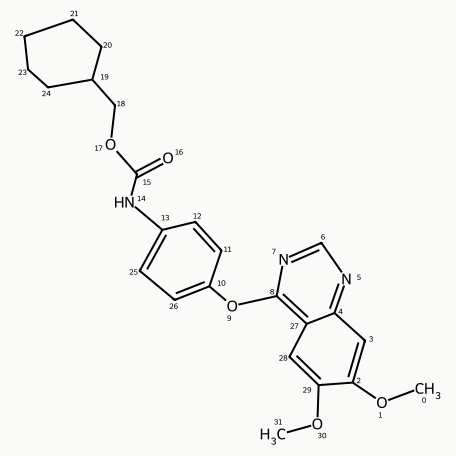 COc1cc2ncnc(Oc3ccc(NC(=O)OCC4CCCCC4)cc3)c2cc1OC